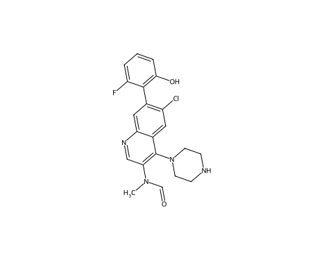 CN(C=O)c1cnc2cc(-c3c(O)cccc3F)c(Cl)cc2c1N1CCNCC1